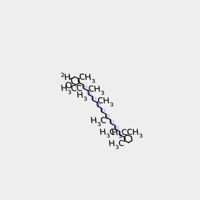 [2H]C1CC(C)=C(/C=C/C(C)=C/C=C/C(C)=C/C=C/C=C(C)/C=C/C=C(C)/C=C/C2=C(C)CCCC2(C)C)C(C)(C)C1=O